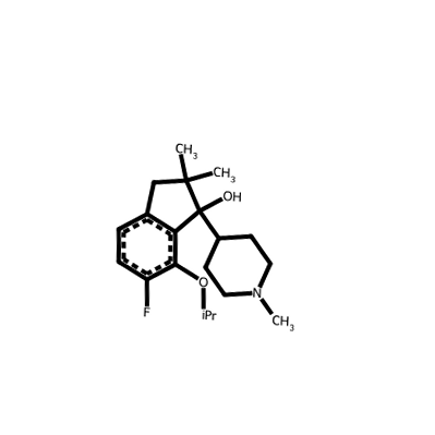 CC(C)Oc1c(F)ccc2c1C(O)(C1CCN(C)CC1)C(C)(C)C2